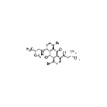 CC(C)CNc1ccc(Br)c2c1C(=O)c1c(Br)ccc(NCC(C)C)c1C2=O